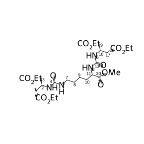 CCOC(=O)CC(NC(=O)NCCCCC(NC(=O)NC(CC(=O)OCC)C(=O)OCC)C(=O)OC)C(=O)OCC